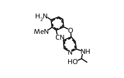 CNc1c(N)ccc(Oc2ccnc(NC(C)O)c2)c1C#N